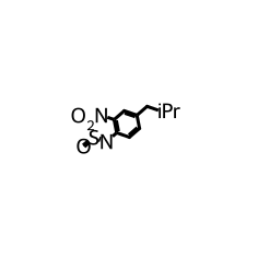 CC(C)Cc1ccc(N=S=O)c([N+](=O)[O-])c1